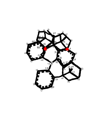 CC1CCC2CC1(c1cccc[c]1[Ir]([c]1ccccc1C13CC(CCC1C)C3(C)C)[c]1ccccc1C13CC(CCC1C)C3(C)C)C2(C)C